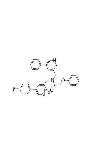 CC(COc1ccccc1)N(Cc1cncc(-c2ccccc2)c1)Cc1cncc(-c2ccc(F)cc2)c1